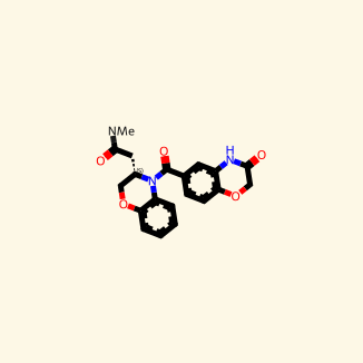 CNC(=O)C[C@H]1COc2ccccc2N1C(=O)c1ccc2c(c1)NC(=O)CO2